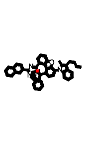 C=C/C=C\c1c(C)n(-c2ccc(-c3ccccc3)c3c2oc2cccc(-c4nc(-c5ccccc5)nc(-c5ccc6ccccc6c5)n4)c23)c2ccccc12